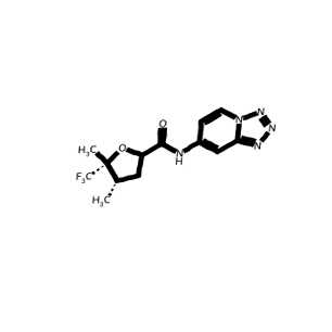 C[C@H]1CC(C(=O)Nc2ccn3nnnc3c2)O[C@@]1(C)C(F)(F)F